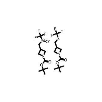 CC(C)(C)OC(=O)N1CC(CSC(F)(F)F)C1.CC(C)(C)OC(=O)N1CC(C[S+]([O-])C(F)(F)F)C1